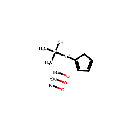 CC(C)(C)[O-].CC(C)(C)[O-].CC(C)(C)[O-].C[Si](C)(C)[V+3][C]1=CC=CC1